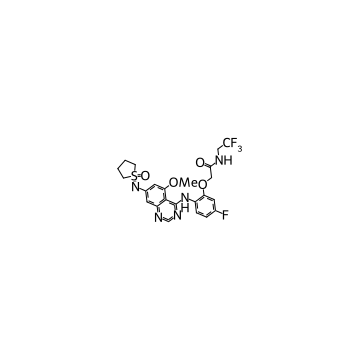 COc1cc(N=S2(=O)CCCC2)cc2ncnc(Nc3ccc(F)cc3OCC(=O)NCC(F)(F)F)c12